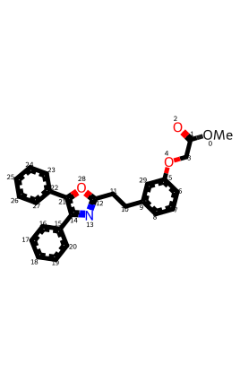 COC(=O)COc1cccc(CCc2nc(-c3ccccc3)c(-c3ccccc3)o2)c1